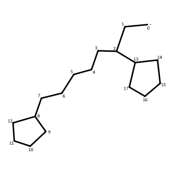 [CH2]CC(CCCCCC1CCCC1)C1CCCC1